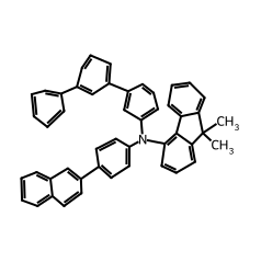 CC1(C)c2ccccc2-c2c(N(c3ccc(-c4ccc5ccccc5c4)cc3)c3cccc(-c4cccc(-c5ccccc5)c4)c3)cccc21